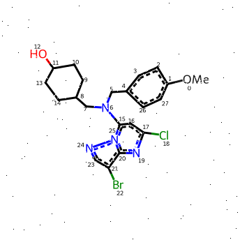 COc1ccc(CN(CC2CCC(O)CC2)c2cc(Cl)nc3c(Br)cnn23)cc1